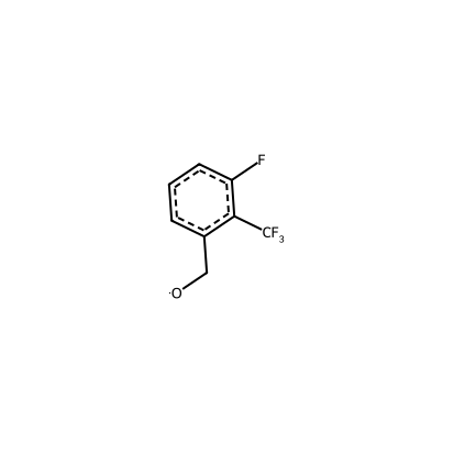 [O]Cc1cccc(F)c1C(F)(F)F